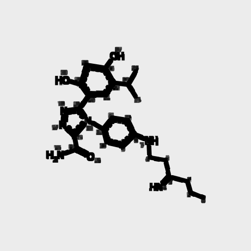 CCCC(=N)CCNc1ccc(-n2c(C(N)=O)nnc2-c2cc(C(C)C)c(O)cc2O)cc1